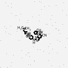 CN(C)CC1CN(S(=O)(=O)N2CCC(Nc3ncc4cc(C#N)c(=O)n([C@@H]5CCC[C@@]5(C)O)c4n3)CC2)C1